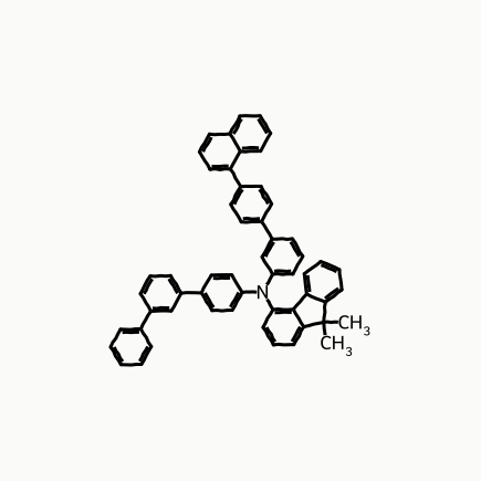 CC1(C)c2ccccc2-c2c(N(c3ccc(-c4cccc(-c5ccccc5)c4)cc3)c3cccc(-c4ccc(-c5cccc6ccccc56)cc4)c3)cccc21